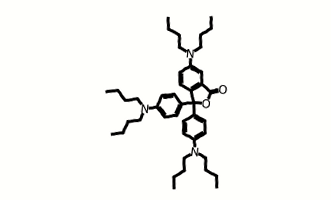 CCCCN(CCCC)c1ccc(C2(c3ccc(N(CCCC)CCCC)cc3)OC(=O)c3cc(N(CCCC)CCCC)ccc32)cc1